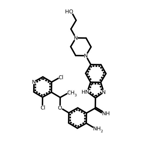 CC(Oc1ccc(N)c(C(=N)c2nc3ccc(N4CCN(CCO)CC4)cc3[nH]2)c1)c1c(Cl)cncc1Cl